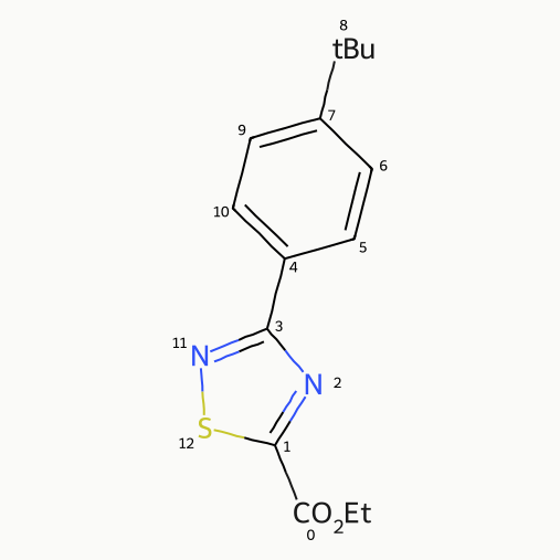 CCOC(=O)c1nc(-c2ccc(C(C)(C)C)cc2)ns1